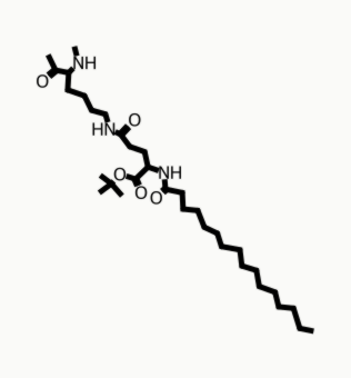 CCCCCCCCCCCCCCCC(=O)NC(CCC(=O)NCCCCC(NC)C(C)=O)C(=O)OC(C)(C)C